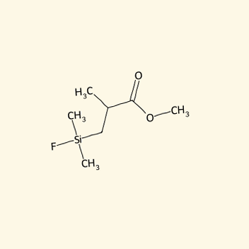 COC(=O)C(C)C[Si](C)(C)F